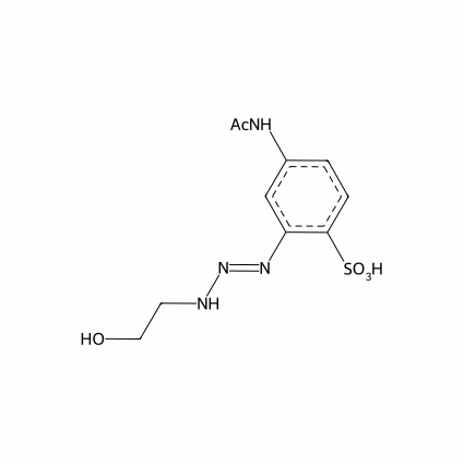 CC(=O)Nc1ccc(S(=O)(=O)O)c(N=NNCCO)c1